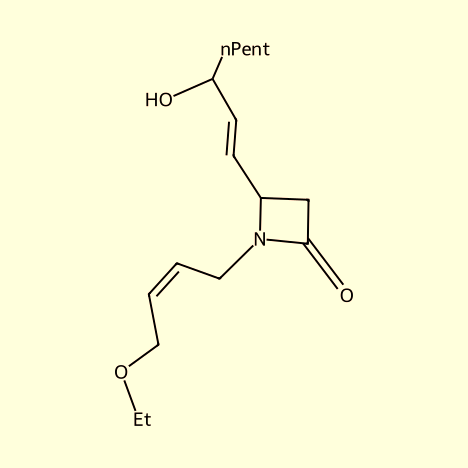 CCCCCC(O)/C=C/C1CC(=O)N1C/C=C\COCC